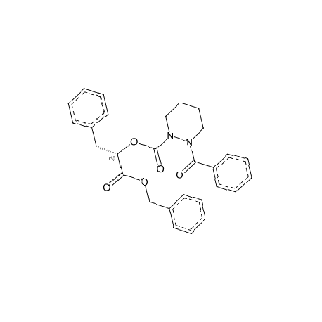 O=C(OCc1ccccc1)[C@H](Cc1ccccc1)OC(=O)N1CCCCN1C(=O)c1ccccc1